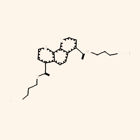 O=C(NCCCS(=O)(=O)O)c1ccnc2c1ccc1c(C(=O)NCCCS(=O)(=O)O)ccnc12